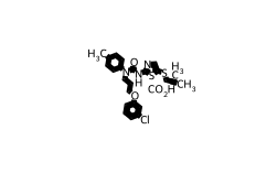 CC1CCC(N(CCCOc2cccc(Cl)c2)C(=O)Nc2ncc(SCC(C)(C)C(=O)O)s2)CC1